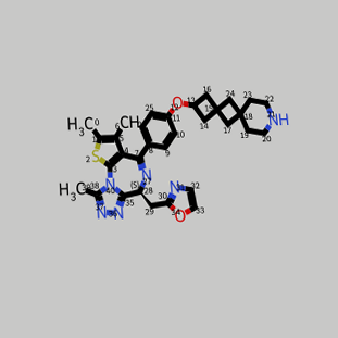 Cc1sc2c(c1C)C(c1ccc(OC3CC4(C3)CC3(CCNCC3)C4)cc1)=N[C@@H](Cc1ncco1)c1nnc(C)n1-2